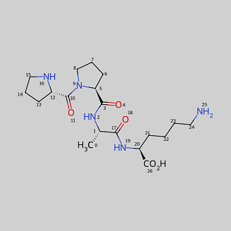 C[C@H](NC(=O)[C@@H]1CCCN1C(=O)[C@@H]1CCCN1)C(=O)N[C@@H](CCCCN)C(=O)O